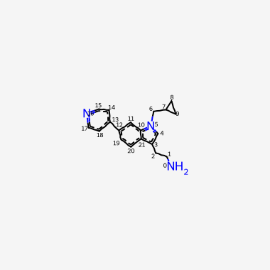 NCCc1cn(CC2CC2)c2cc(-c3ccncc3)ccc12